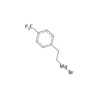 FC(F)(F)c1ccc(C[CH2][Mg][Br])cc1